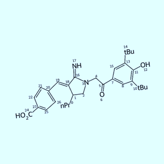 CCCC1CN(CC(=O)c2cc(C(C)(C)C)c(O)c(C(C)(C)C)c2)C(=N)/C1=C/c1ccc(C(=O)O)cc1